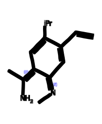 C=CC1=CC(=N/C)/C(=C(/C)N)C=C1C(C)C